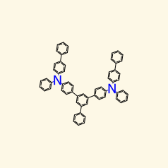 c1ccc(-c2ccc(N(c3ccccc3)c3ccc(-c4cc(-c5ccccc5)cc(-c5ccc(N(c6ccccc6)c6ccc(-c7ccccc7)cc6)cc5)c4)cc3)cc2)cc1